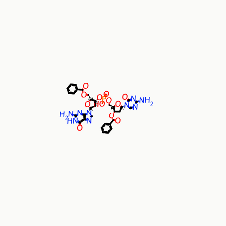 Nc1ncn([C@H]2CC(OC(=O)c3ccccc3)[C@@H](COP(=O)(O)O[C@@H]3C[C@H](n4cnc5c(=O)[nH]c(N)nc54)O[C@@H]3COC(=O)c3ccccc3)O2)c(=O)n1